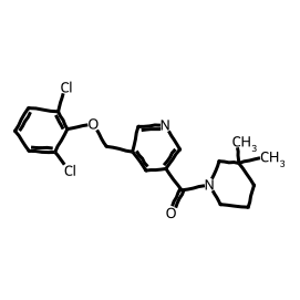 CC1(C)CCCN(C(=O)c2cncc(COc3c(Cl)cccc3Cl)c2)C1